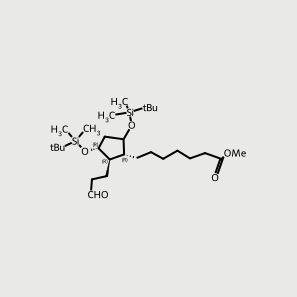 COC(=O)CCCCCC[C@H]1C(O[Si](C)(C)C(C)(C)C)C[C@@H](O[Si](C)(C)C(C)(C)C)[C@@H]1CCC=O